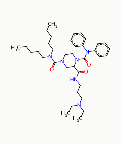 CCCCCN(CCCCC)C(=O)N1CCN(C(=O)N(c2ccccc2)c2ccccc2)C(C(=O)NCCCN(CC)CC)C1